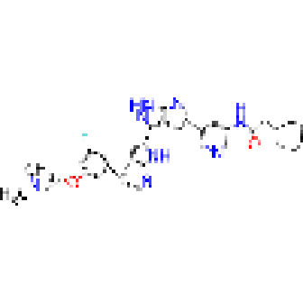 CN(C)CCOc1cc(F)cc(-c2ccnc3[nH]c(-c4n[nH]c5ncc(-c6cncc(NC(=O)CC7CCCCC7)c6)cc45)cc23)c1